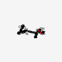 Cc1csc(-c2ccc(CNC(=O)[C@@H]3C[C@@H](O)CN3C(=O)[C@@H](NC(=O)C3(F)CC3)C(C)(C)C)c(OCCOCCOCCNC(=O)c3ccc(C(=N)c4cc(O[C@H](C)c5c(Cl)cncc5Cl)ccc4NC4CCCCO4)cc3)c2)c1C